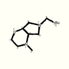 CN1CCOC2CN(CC(C)(C)C)CC21